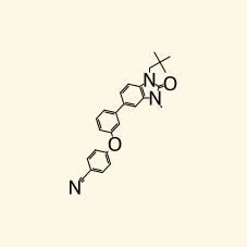 Cn1c(=O)n(CC(C)(C)C)c2ccc(-c3cccc(Oc4ccc(C#N)cc4)c3)cc21